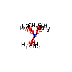 CC(C)(C)OC(=O)COCCN(CCOCC(=O)OC(C)(C)C)CCOCC(=O)OC(C)(C)C